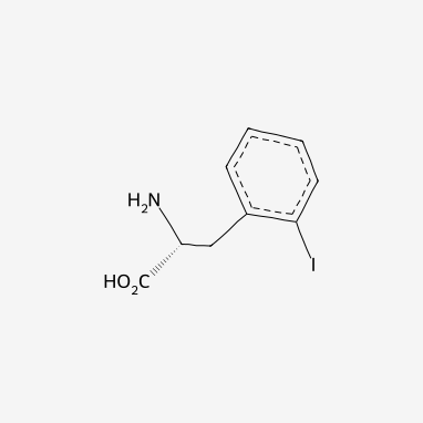 N[C@H](Cc1ccccc1I)C(=O)O